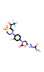 CC(=O)NC[C@H]1CN(c2ccc(N3C=C(C(=O)C(F)(F)F)S(=O)(=O)CC3)c(F)c2)C(=O)O1